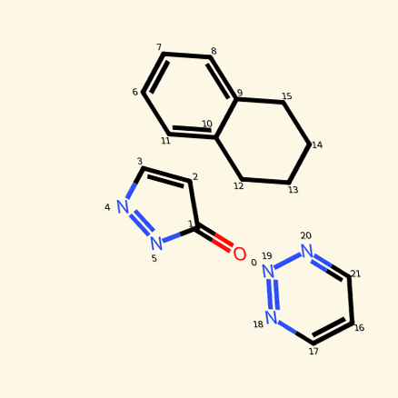 O=C1C=CN=N1.c1ccc2c(c1)CCCC2.c1cnnnc1